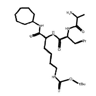 CC(C)CC(NC(=O)C(C)N)C(=O)NC(CCCCNC(=O)OC(C)(C)C)C(=O)NC1CCCCCC1